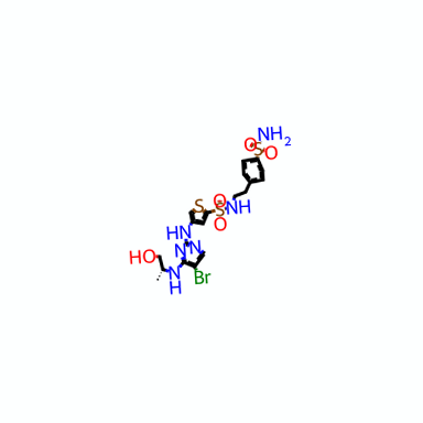 C[C@H](CO)Nc1nc(Nc2csc(S(=O)(=O)NCCc3ccc(S(N)(=O)=O)cc3)c2)ncc1Br